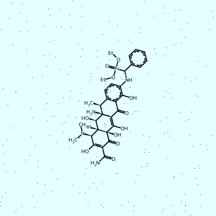 CCOP(=O)(OCC)C(Nc1ccc2c(c1O)C(=O)C1=C(O)[C@]3(O)C(=O)C(C(N)=O)=C(O)[C@@H](N(C)C)[C@@H]3[C@@H](O)[C@]1(N)[C@H]2C)c1ccccc1